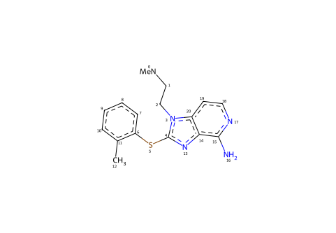 CNCCn1c(Sc2ccccc2C)nc2c(N)nccc21